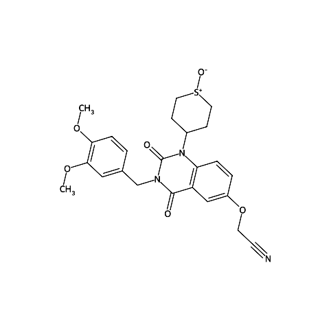 COc1ccc(Cn2c(=O)c3cc(OCC#N)ccc3n(C3CC[S+]([O-])CC3)c2=O)cc1OC